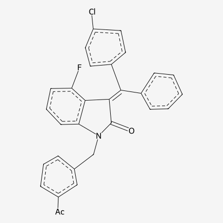 CC(=O)c1cccc(CN2C(=O)/C(=C(\c3ccccc3)c3ccc(Cl)cc3)c3c(F)cccc32)c1